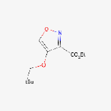 CCOC(=O)c1nocc1OCC(C)(C)C